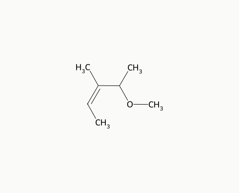 CC=C(C)C(C)OC